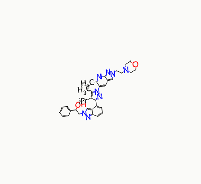 Cc1nc2nn(CCN3CCOCC3)cc2cc1-n1nc(-c2cccc3nn(C[C@H](O)c4ccccc4)cc23)c(C(C)C)c1C